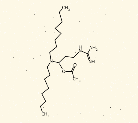 CCCCCCCCN(CCCCCCCC)C(CCNC(=N)N)OC(C)=O